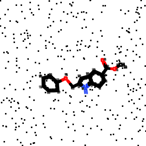 COC(=O)c1ccc2[nH]c(COc3ccccc3)cc2c1